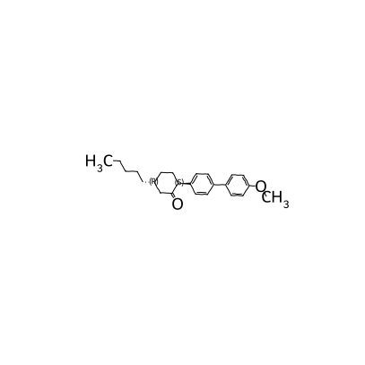 CCCCC[C@@H]1CC[C@@H](c2ccc(-c3ccc(OC)cc3)cc2)C(=O)C1